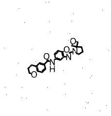 O=C(Nc1ccc2oc(N3CCCC34COC4)nc2c1)c1ccc2c(c1)CCCO2